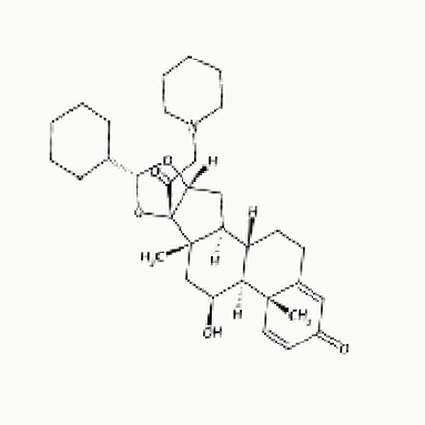 C[C@]12C=CC(=O)C=C1CC[C@@H]1[C@@H]2[C@@H](O)C[C@@]2(C)[C@H]1C[C@H]1O[C@@H](C3CCCCC3)O[C@]12C(=O)CN1CCCCC1